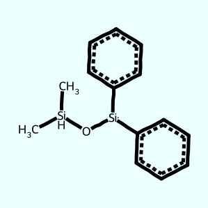 C[SiH](C)O[Si](c1ccccc1)c1ccccc1